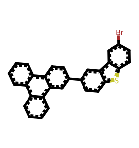 Brc1ccc2sc3ccc(-c4ccc5c6ccccc6c6ccccc6c5c4)cc3c2c1